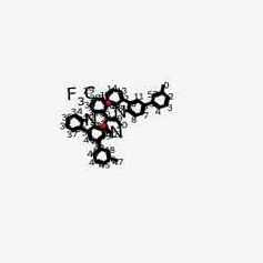 Cc1cccc(-c2ccc3c(c2)c2ccccc2n3-c2cnccc2-c2ccc(C(F)(F)F)cc2-n2c3ccccc3c3cc(-c4cccc(C)c4)ccc32)c1